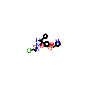 O=C(Nc1ncc(Cl)s1)C1(c2ccc(S(=O)(=O)Cc3cccnc3)cc2)CC1C1CCCC1